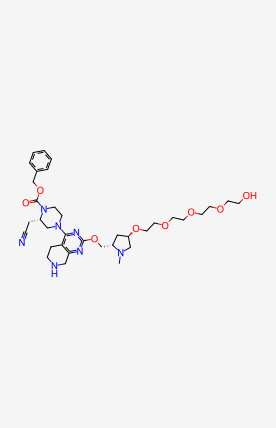 CN1C[C@H](OCCOCCOCCOCCO)C[C@H]1COc1nc2c(c(N3CCN(C(=O)OCc4ccccc4)[C@@H](CC#N)C3)n1)CCNC2